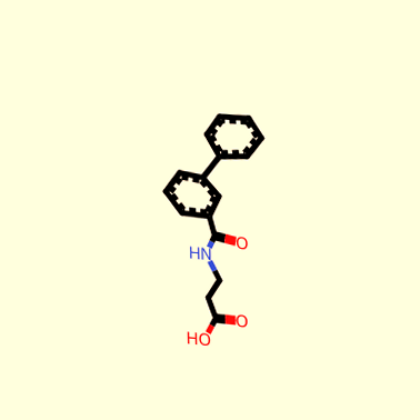 O=C(O)CCNC(=O)c1cccc(-c2ccccc2)c1